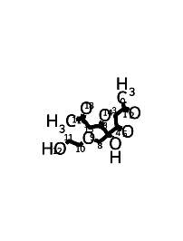 CC(=O)CC(=O)C(O)(COCCO)C(=O)CC(C)=O